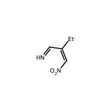 C[CH]C(C=N)=C[N+](=O)[O-]